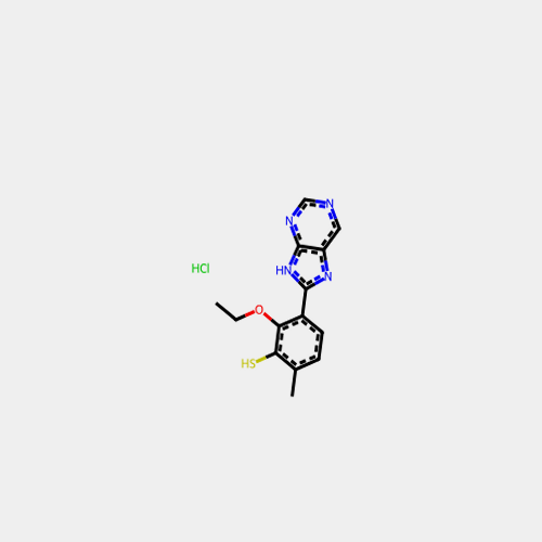 CCOc1c(-c2nc3cncnc3[nH]2)ccc(C)c1S.Cl